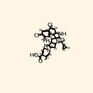 Cc1cn2c3c(nc2cc1C(=O)O)[C@@H]1C(C3)N(CC2CC2)[C@@]2(C(=O)Nc3cc(Cl)ccc32)[C@H]1c1cccc(Cl)c1F